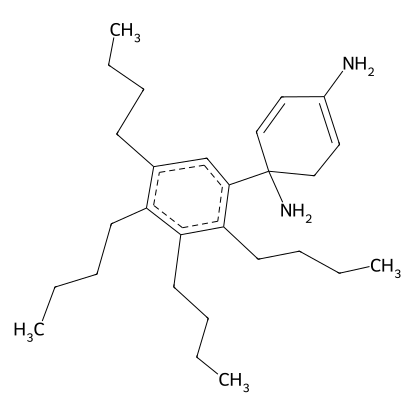 CCCCc1cc(C2(N)C=CC(N)=CC2)c(CCCC)c(CCCC)c1CCCC